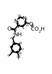 Cc1cc(CNC(=O)c2cc(OC(=O)O)ncn2)ccc1F